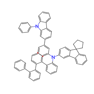 c1ccc(-c2ccccc2-c2ccccc2-c2ccccc2N(c2cccc(-c3ccc4c5ccccc5n(-c5ccccc5)c4c3)c2)c2ccc3c(c2)-c2ccccc2C32CCCC2)cc1